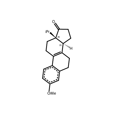 COc1ccc2c(c1)CCC1=C2CC[C@]2(C(C)C)C(=O)CC[C@@H]12